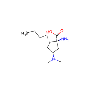 BCCC[C@H]1C[C@H](N(C)C)C[C@@]1(N)C(=O)O